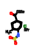 CCCCl.COC(=O)c1ccc(N=S(=O)=O)c(C)c1